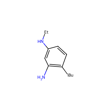 CCNc1ccc(C(C)CC)c(N)c1